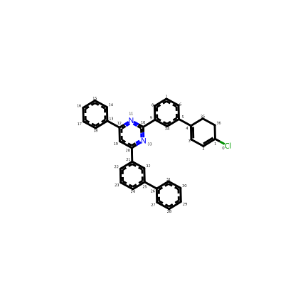 ClC1=CC=C(c2cccc(-c3nc(-c4ccccc4)cc(-c4cccc(-c5ccccc5)c4)n3)c2)CC1